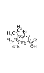 CC(C)N1c2c(Br)cc(C(=O)O)cc2C2CCC(I)C21